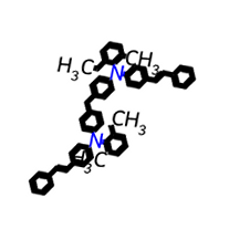 CCc1cccc(C)c1N(c1ccc(/C=C/c2ccccc2)cc1)c1ccc(Cc2ccc(N(c3ccc(/C=C/c4ccccc4)cc3)c3c(C)cccc3CC)cc2)cc1